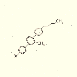 CCCCCc1ccc(-c2ccc(-c3ccc(Br)cc3)cc2C)cc1